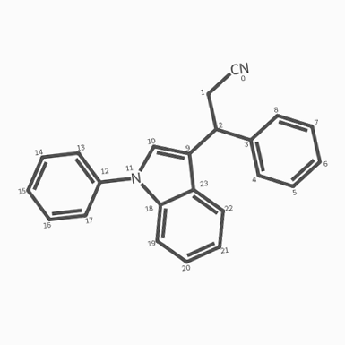 N#CCC(c1ccccc1)c1cn(-c2ccccc2)c2ccccc12